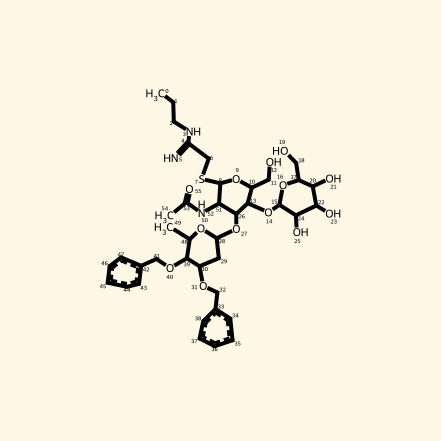 CCCNC(=N)CSC1OC(CO)C(OC2OC(CO)C(O)C(O)C2O)C(OC2CC(OCc3ccccc3)C(OCc3ccccc3)C(C)O2)C1NC(C)=O